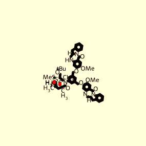 COc1cc2c(cc1OCc1cc(COc3cc4c(cc3OC)C(=O)N3c5ccccc5C[C@H]3CN4)cc(N(C(=O)C(C)(C)CC(C)C(C)(C)SSC)C(C)(C)CCOC(C)(C)C)c1)N=C[C@@H]1Cc3ccccc3N1C2=O